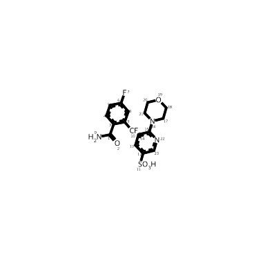 NC(=O)c1ccc(F)cc1C(F)(F)F.O=S(=O)(O)c1ccc(N2CCOCC2)nc1